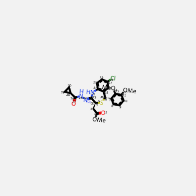 COC(=O)C[C@@H]1S[C@@H](c2cccc(OC)c2OC)c2cc(Cl)ccc2N/C1=N\NC(=O)C1CC1